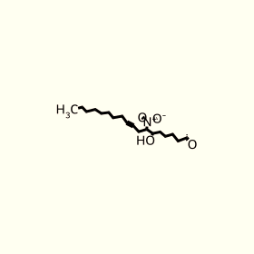 CCCCCCCCC#CCC(C(O)CCCC[C]=O)[N+](=O)[O-]